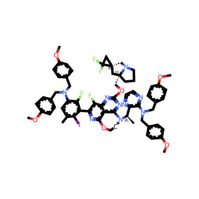 COc1ccc(CN(Cc2ccc(OC)cc2)c2cc(C)c(I)c(-c3nc4c5c(nc(OC[C@@]67CCCN6C[C@]6(CC6(F)F)C7)nc5c3F)N([C@H](C)c3nccnc3N(Cc3ccc(OC)cc3)Cc3ccc(OC)cc3)CCO4)c2F)cc1